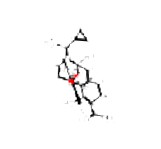 C[C@@H](C1CC1)N1CCC23CC(=O)CC[C@@]2(O)[C@H]1Cc1ccc(C(N)=O)c(O)c13